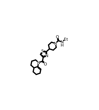 CCNC(=O)N1CCC(c2nc(C(=O)N3CCCC4CCCC=C43)cs2)CC1